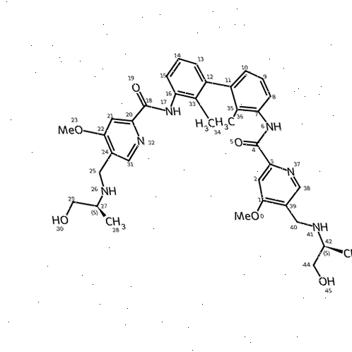 COc1cc(C(=O)Nc2cccc(-c3cccc(NC(=O)c4cc(OC)c(CN[C@@H](C)CO)cn4)c3C)c2C)ncc1CN[C@@H](C)CO